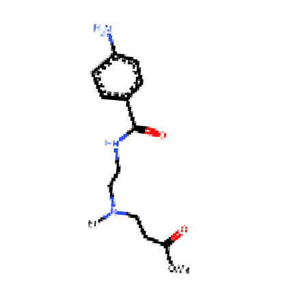 CCN(CCNC(=O)c1ccc(N)cc1)CCC(=O)OC